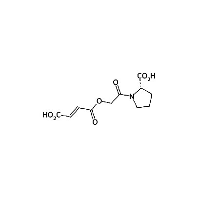 O=C(O)C=CC(=O)OCC(=O)N1CCC[C@H]1C(=O)O